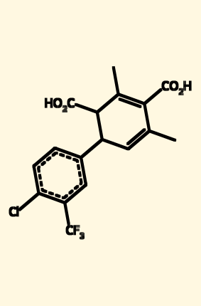 CC1=CC(c2ccc(Cl)c(C(F)(F)F)c2)C(C(=O)O)C(C)=C1C(=O)O